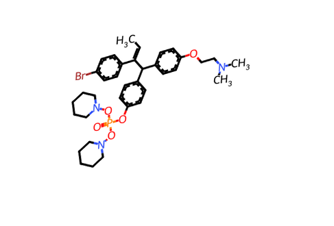 C/C=C(\c1ccc(Br)cc1)C(c1ccc(OCCN(C)C)cc1)c1ccc(OP(=O)(ON2CCCCC2)ON2CCCCC2)cc1